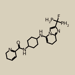 O=C(NC1CCC(NC2=CCCc3nc(C(F)(P)P)cn32)CC1)C1=NCCC=C1